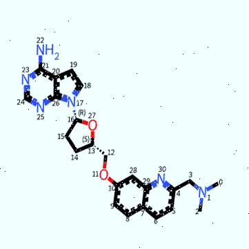 CN(C)Cc1ccc2ccc(OC[C@@H]3CC[C@H](n4ccc5c(N)ncnc54)O3)cc2n1